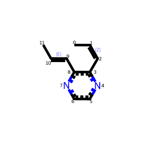 C/C=C\c1nccnc1/C=C/C